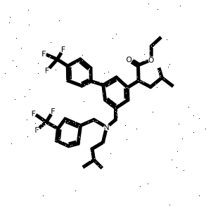 CCOC(=O)C(CC(C)C)c1cc(CN(CCC(C)C)Cc2cccc(C(F)(F)F)c2)cc(-c2ccc(C(F)(F)F)cc2)c1